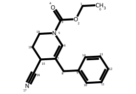 CCOC(=O)N1C=C(Cc2ccccc2)C(C#N)CC1